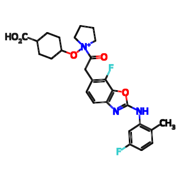 Cc1ccc(F)cc1Nc1nc2ccc(CC(=O)[N+]3(OC4CCC(C(=O)O)CC4)CCCC3)c(F)c2o1